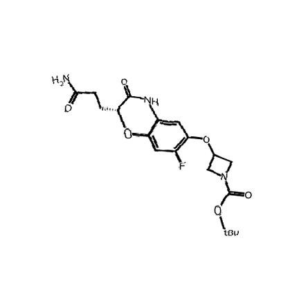 CC(C)(C)OC(=O)N1CC(Oc2cc3c(cc2F)O[C@H](CCC(N)=O)C(=O)N3)C1